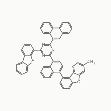 Cc1ccc2c(c1)oc1cccc(-c3ccc(-c4nc(-c5cc6ccccc6c6ccccc56)nc(-c5cccc6c5oc5ccccc56)n4)c4ccccc34)c12